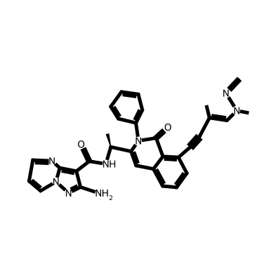 C=NN(C)/C=C(\C)C#Cc1cccc2cc([C@H](C)NC(=O)c3c(N)nn4cccnc34)n(-c3ccccc3)c(=O)c12